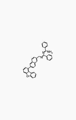 N/C(=N\C(=N/Cc1ccc2cc(-c3cccc4oc5ccccc5c34)ccc2c1)c1ccccc1)c1ccccc1